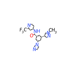 Cn1cc(-c2cc(C(=O)Nc3ccnc(C(F)(F)F)c3)cc(-n3ccnc3)c2)cn1